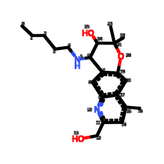 CCCCCNC1c2cc3nc(CO)cc(C)c3cc2OC(C)(C)C1O